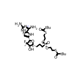 CC(C)(C)C(=O)SCCOP(=O)(CCC[C@H]1O[C@@H](c2cnc(/C(N)=N\C(=N)N)[nH]2)[C@](C)(F)[C@@H]1O)OCCSC(=O)C(C)(C)C